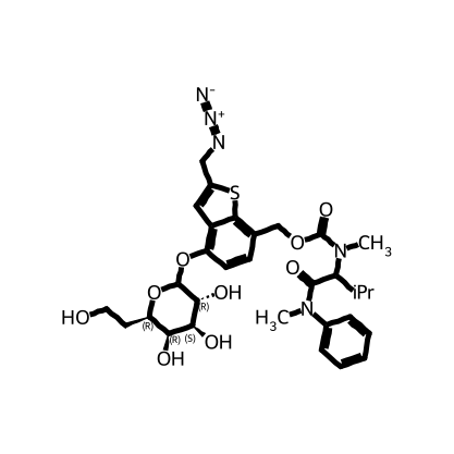 CC(C)C(C(=O)N(C)c1ccccc1)N(C)C(=O)OCc1ccc(OC2O[C@H](CCO)[C@H](O)[C@H](O)[C@H]2O)c2cc(CN=[N+]=[N-])sc12